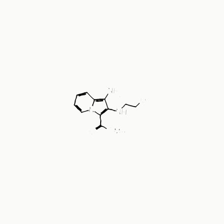 COC(=O)c1c(NCCO)c(N)c2ccccn12